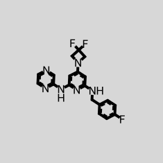 Fc1ccc(CNc2cc(N3CC(F)(F)C3)cc(Nc3cnccn3)n2)cc1